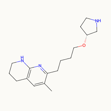 Cc1cc2c(nc1CCCCO[C@@H]1CCNC1)NCCC2